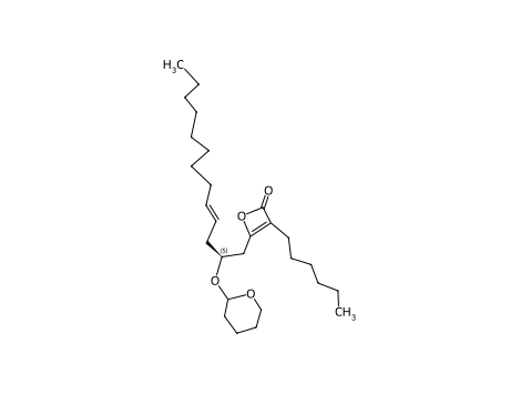 CCCCCCCCC=CC[C@@H](CC1=C(CCCCCC)C(=O)O1)OC1CCCCO1